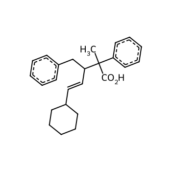 CC(C(=O)O)(c1ccccc1)C(C=CC1CCCCC1)Cc1ccccc1